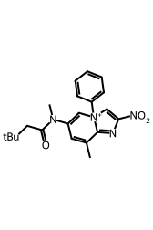 CC1=CC(N(C)C(=O)CC(C)(C)C)=C[N+]2(c3ccccc3)C=C([N+](=O)[O-])N=C12